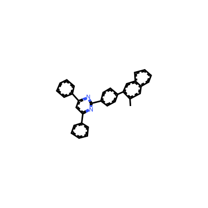 Cc1cc2ccccc2cc1-c1ccc(-c2nc(-c3ccccc3)cc(-c3ccccc3)n2)cc1